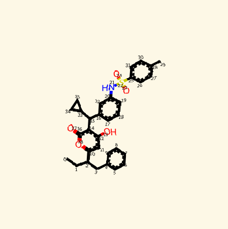 CCC(Cc1ccccc1)c1cc(O)c(C(c2cccc(NS(=O)(=O)c3ccc(C)cc3)c2)C2CC2)c(=O)o1